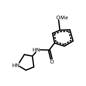 COc1cccc(C(=O)NC2CCNC2)c1